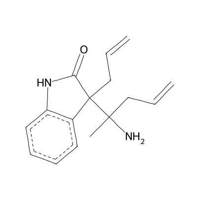 C=CCC(C)(N)C1(CC=C)C(=O)Nc2ccccc21